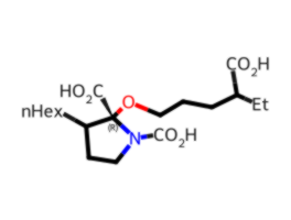 CCCCCCC1CCN(C(=O)O)[C@]1(OCCCC(CC)C(=O)O)C(=O)O